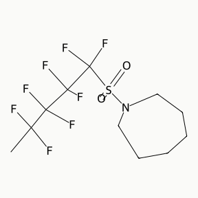 CC(F)(F)C(F)(F)C(F)(F)C(F)(F)S(=O)(=O)N1CCCCCC1